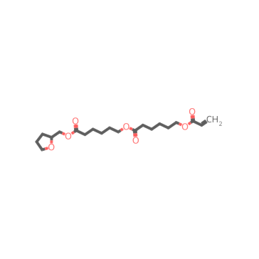 C=CC(=O)OCCCCCC(=O)OCCCCCC(=O)OCC1CCCO1